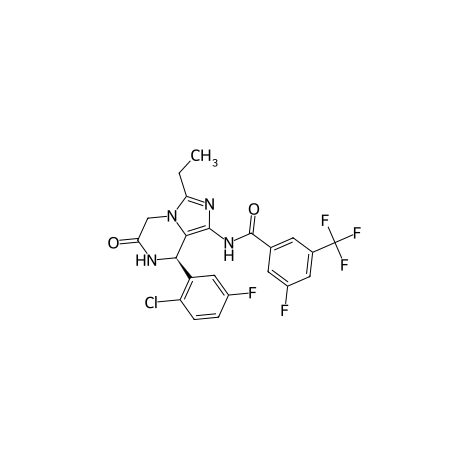 CCc1nc(NC(=O)c2cc(F)cc(C(F)(F)F)c2)c2n1CC(=O)N[C@@H]2c1cc(F)ccc1Cl